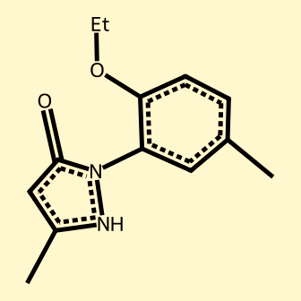 CCOc1ccc(C)cc1-n1[nH]c(C)cc1=O